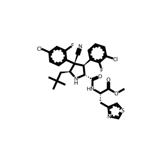 COC(=O)[C@H](Cc1cscn1)NC(=O)[C@@H]1N[C@@H](CC(C)(C)C)[C@](C#N)(c2ccc(Cl)cc2F)[C@H]1c1cccc(Cl)c1F